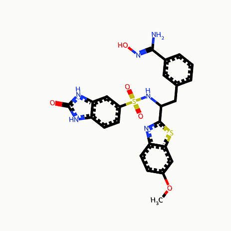 COc1ccc2nc(C(Cc3cccc(C(N)=NO)c3)NS(=O)(=O)c3ccc4[nH]c(=O)[nH]c4c3)sc2c1